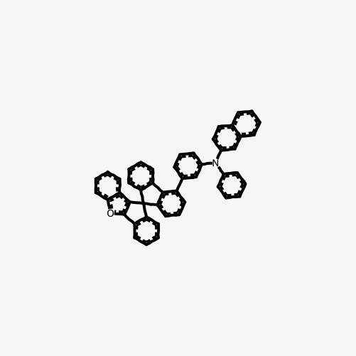 c1ccc(N(c2cccc(-c3cccc4c3-c3ccccc3C43c4ccccc4-c4oc5ccccc5c43)c2)c2ccc3ccccc3c2)cc1